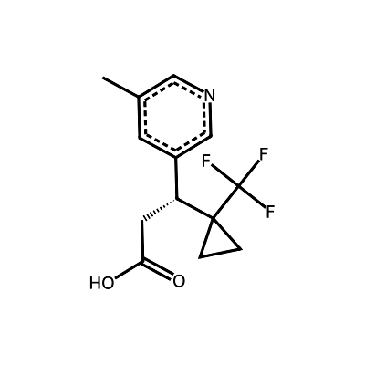 Cc1cncc([C@@H](CC(=O)O)C2(C(F)(F)F)CC2)c1